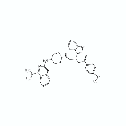 CCOc1ccc(C(=O)CC(CN[C@H]2CC[C@@H](Nc3nc(N(C)C)c4ccccc4n3)CC2)c2c[nH]c3ccccc23)cc1